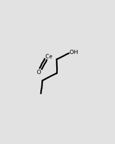 CCCCO.[O]=[Ce]